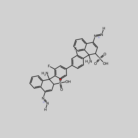 [H]/N=N/C1=CC(S(=O)(=O)O)C(N)(c2ccc(-c3ccc(C4(N)c5ccccc5C(/N=N/[H])=CC4S(=O)(=O)O)c(F)c3)cc2F)c2ccccc21